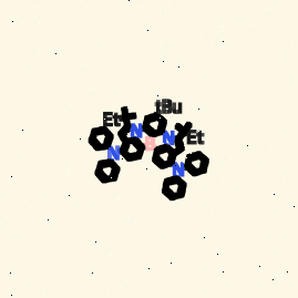 CCC(C)(C)c1cc2c(N(c3ccccc3)c3ccccc3)ccc3c2n1-c1cc(C(C)(C)C)cc2c1B3c1ccc(N(c3ccccc3)c3ccccc3)c3cc(C(C)(C)CC)n-2c13